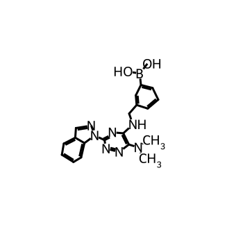 CN(C)c1nnc(-n2ncc3ccccc32)nc1NCc1cccc(B(O)O)c1